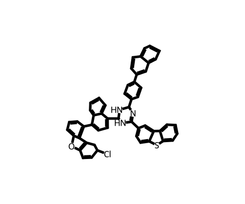 ClC1C=Cc2oc3cccc(-c4ccc(C5NC(c6ccc7sc8ccccc8c7c6)=NC(c6ccc(-c7ccc8ccccc8c7)cc6)N5)c5ccccc45)c3c2C1